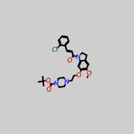 COc1cc2c(cc1OCCN1CCN(C(=O)OC(C)(C)C)CC1)N(C(=O)C=Cc1ccccc1Cl)CC2